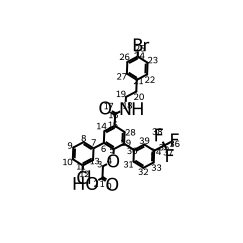 O=C(O)COc1c(-c2cccc(Cl)c2)cc(C(=O)NCCc2ccc(Br)cc2)cc1-c1cccc(C(F)(F)F)c1